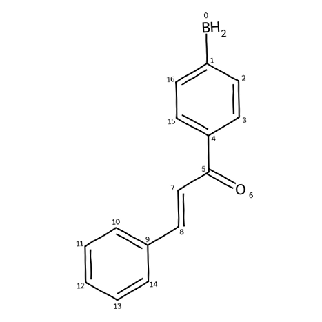 Bc1ccc(C(=O)C=Cc2ccccc2)cc1